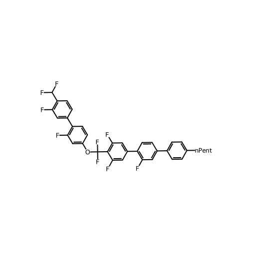 CCCCCc1ccc(-c2ccc(-c3cc(F)c(C(F)(F)Oc4ccc(-c5ccc(C(F)F)c(F)c5)c(F)c4)c(F)c3)c(F)c2)cc1